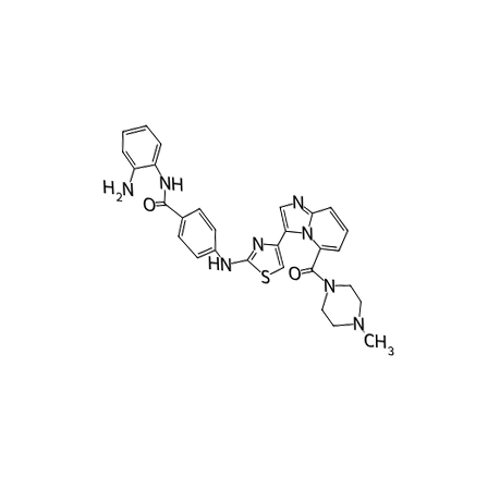 CN1CCN(C(=O)c2cccc3ncc(-c4csc(Nc5ccc(C(=O)Nc6ccccc6N)cc5)n4)n23)CC1